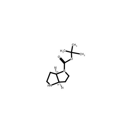 CC(C)(C)OC(=O)N1CC[C@H]2NCC[C@H]21